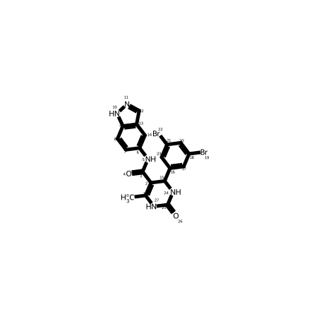 CC1=C(C(=O)Nc2ccc3[nH]ncc3c2)C(c2cc(Br)cc(Br)c2)NC(=O)N1